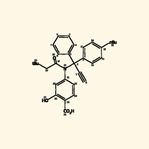 C#CC(c1ccccc1)(c1ccc(CCCC)cc1)N(C(=O)CC(C)(C)C)c1ccc(C(=O)O)c(O)c1